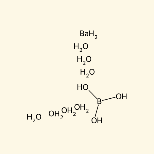 O.O.O.O.O.O.O.OB(O)O.[BaH2]